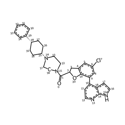 O=C(C1Cc2cc(Cl)cc(-c3ccnc4[nH]ccc34)c2O1)N1CCN([C@H]2CC[C@@H](c3ccccc3)CC2)CC1